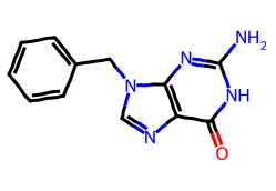 Nc1nc2c(ncn2Cc2ccccc2)c(=O)[nH]1